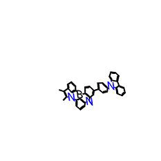 Cc1c(C)n2c3c(cccc13)B1c3ccc(-c4ccc(-n5c6ccccc6c6ccccc65)cc4)cc3N(C)c3cccc-2c31